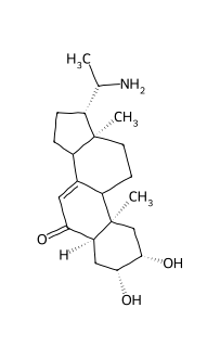 CC(N)[C@H]1CCC2C3=CC(=O)[C@@H]4C[C@@H](O)[C@@H](O)C[C@]4(C)C3CC[C@@]21C